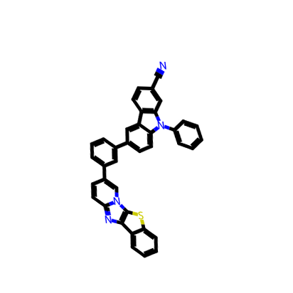 N#Cc1ccc2c3cc(-c4cccc(-c5ccc6nc7c8ccccc8sc7n6c5)c4)ccc3n(-c3ccccc3)c2c1